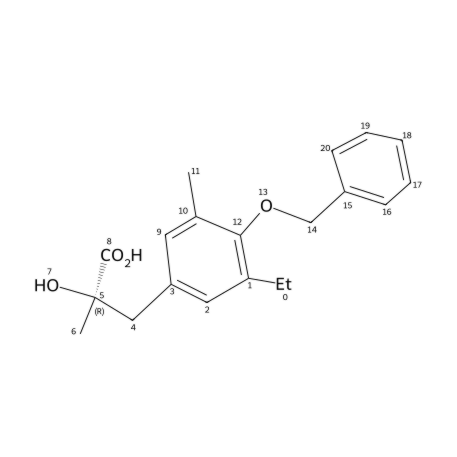 CCc1cc(C[C@@](C)(O)C(=O)O)cc(C)c1OCc1ccccc1